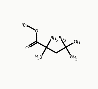 BC(B)(O)CC(B)(B)C(=O)OC(C)(C)C